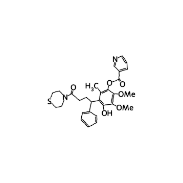 COc1c(O)c(C(CCC(=O)N2CCSCC2)c2ccccc2)c(C)c(OC(=O)c2cccnc2)c1OC